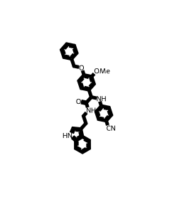 COc1cc(C(Nc2ccc(C#N)cc2)C(=O)NCCc2c[nH]c3ccccc23)ccc1OCc1ccccc1